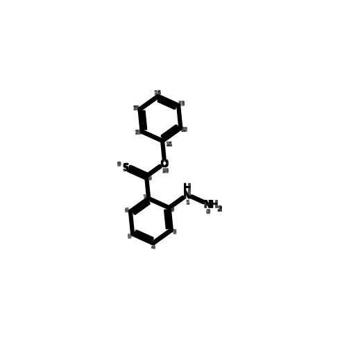 NNc1ccccc1C(=S)Oc1ccccc1